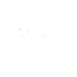 COc1ccnc(C(=O)N[C@H]2CCC[C@H](OCCCC(F)(F)F)[C@@H](OCCCC(F)(F)F)[C@H](C)OC2=O)c1O